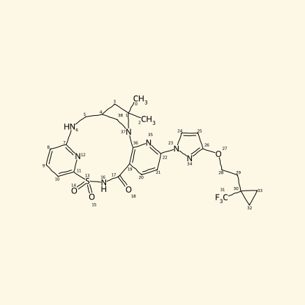 CC1(C)CC2CNc3cccc(n3)S(=O)(=O)NC(=O)c3ccc(-n4ccc(OCCC5(C(F)(F)F)CC5)n4)nc3N1C2